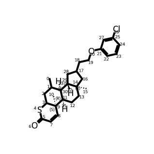 CC1CC2SC(=O)C=C[C@]2(C)[C@@H]2CC[C@]3(C)CC(CCOc4cccc(Cl)c4)C[C@H]3[C@H]12